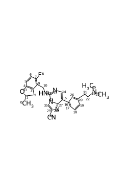 CC1Cc2c(ccc(F)c2CNc2ncc(-c3cccc(CCN(C)C)c3)c3nc(C#N)cn23)O1